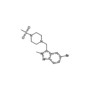 Cn1nc2ccc(Br)cc2c1CN1CCN(S(C)(=O)=O)CC1